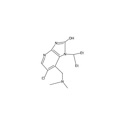 CCC(CC)n1c(O)nc2ncc(Cl)c(CN(C)C)c21